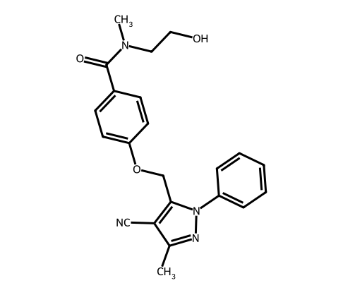 Cc1nn(-c2ccccc2)c(COc2ccc(C(=O)N(C)CCO)cc2)c1C#N